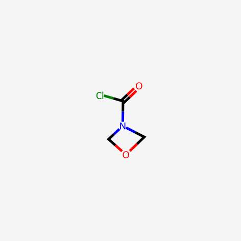 O=C(Cl)N1COC1